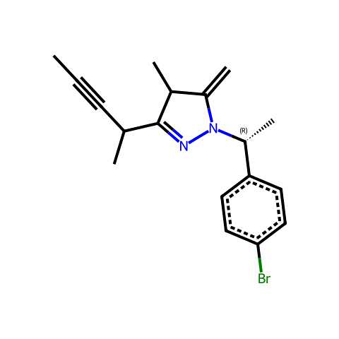 C=C1C(C)C(C(C)C#CC)=NN1[C@H](C)c1ccc(Br)cc1